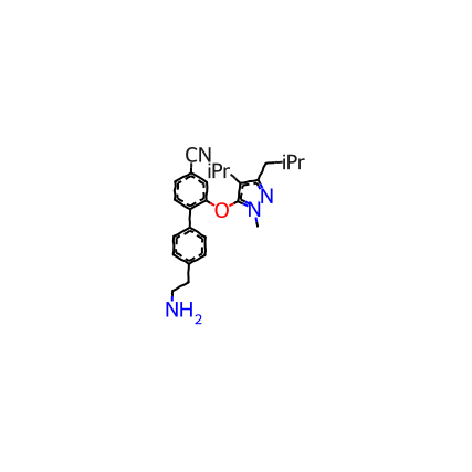 CC(C)Cc1nn(C)c(Oc2cc(C#N)ccc2-c2ccc(CCN)cc2)c1C(C)C